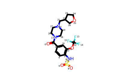 O=C(c1ccc(N[SH](=O)=O)c(OC(F)(F)F)c1)N1CCN(CC2CCOC2)CC1